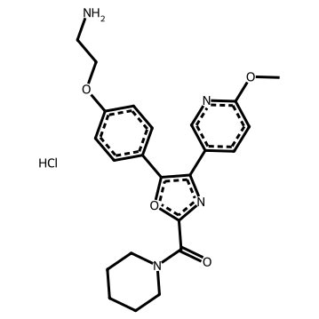 COc1ccc(-c2nc(C(=O)N3CCCCC3)oc2-c2ccc(OCCN)cc2)cn1.Cl